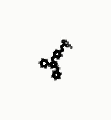 CC(C)COc1ccc(Cn2nc(Cc3ccccc3)cc2N2CCCCC2)cc1